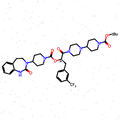 CC(C)(C)OC(=O)N1CCC(N2CCN(C(=O)[C@@H](Cc3cccc(C(F)(F)F)c3)OC(=O)N3CCC(N4CCc5ccccc5NC4=O)CC3)CC2)CC1